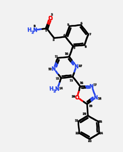 NC(=O)Cc1ccccc1-c1cnc(N)c(-c2nnc(-c3ccccc3)o2)n1